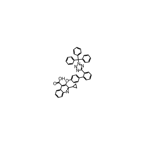 O=C(O)c1c(Oc2ccc(-c3ccccc3-c3nnn(C(c4ccccc4)(c4ccccc4)c4ccccc4)n3)cc2)c(C2CC2)nc2ccccc12